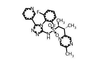 Cc1cnc([C@@H](C)[C@H](C)S(=O)(=O)Nc2nnc(-c3cccnc3)n2-c2c(F)cccc2F)cn1